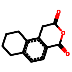 O=C1Cc2c(ccc3c2CCCC3)C(=O)O1